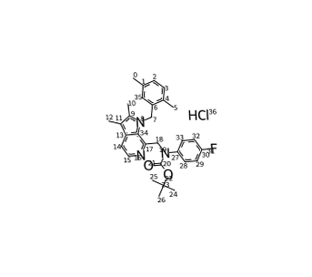 Cc1ccc(C)c(Cn2c(C)c(C)c3ccnc(CN(C(=O)OC(C)(C)C)c4ccc(F)cc4)c32)c1.Cl